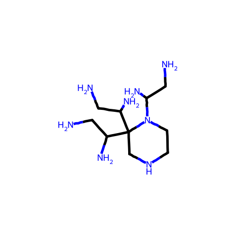 NCC(N)N1CCNCC1(C(N)CN)C(N)CN